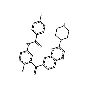 O=C(Nc1ccc(F)c(C(=O)c2ccc3ncc(N4CCNCC4)nc3c2)c1)c1ccc(F)cc1